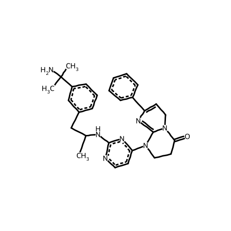 CC(Cc1cccc(C(C)(C)N)c1)Nc1nccc(N2CCC(=O)N3CC=C(c4ccccc4)N=C32)n1